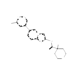 O=C(Nc1cn2cc(-c3cnnc(Cl)c3)ccc2n1)C1(F)CCOCC1